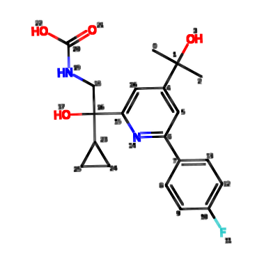 CC(C)(O)c1cc(-c2ccc(F)cc2)nc(C(O)(CNC(=O)O)C2CC2)c1